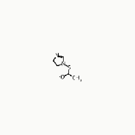 CC([O])SN1C=NCC1